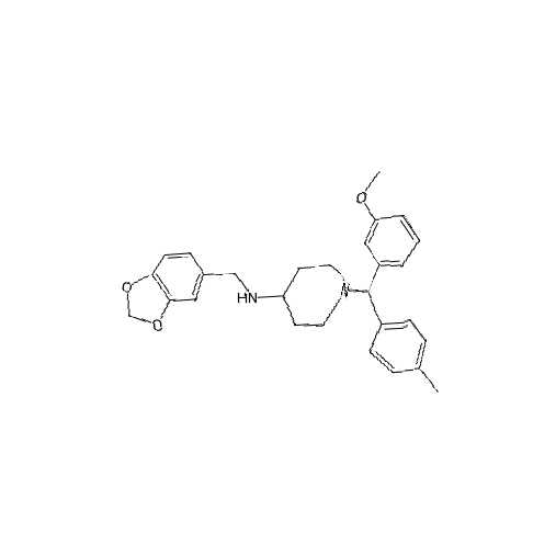 COc1cccc(C(c2ccc(C)cc2)N2CCC(NCc3ccc4c(c3)OCO4)CC2)c1